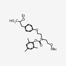 CCCCOCCN(CCOc1ccc(CC(OCC)C(=O)O)cc1)C(=O)Oc1c(C)cc(C)cc1C